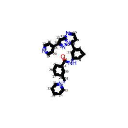 O=C(Nc1cccc(-c2ccnc3cc(-c4ccncc4)nn23)c1)c1cccc(C[n+]2ccccc2)c1